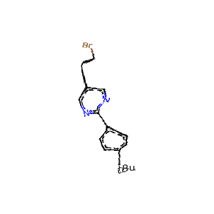 CC(C)(C)c1ccc(-c2ncc(CCBr)cn2)cc1